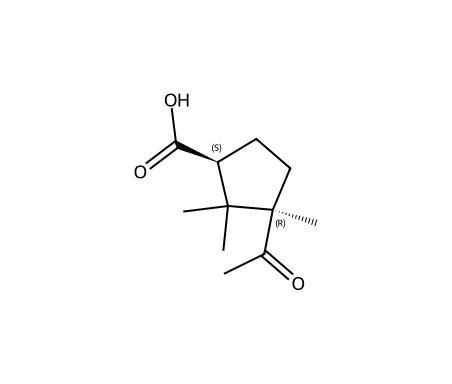 CC(=O)[C@]1(C)CC[C@H](C(=O)O)C1(C)C